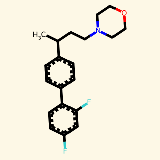 CC(CCN1CCOCC1)c1ccc(-c2ccc(F)cc2F)cc1